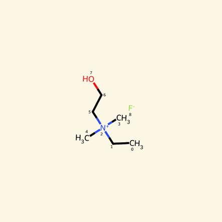 CC[N+](C)(C)CCO.[F-]